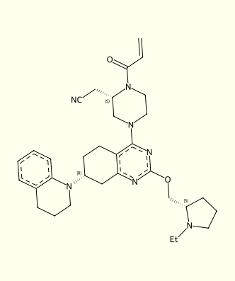 C=CC(=O)N1CCN(c2nc(OC[C@@H]3CCCN3CC)nc3c2CC[C@@H](N2CCCc4ccccc42)C3)C[C@@H]1CC#N